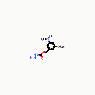 COc1cc(COC(=O)NN)cc(N(C)C)c1